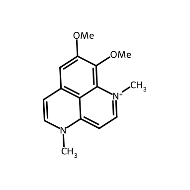 COc1cc2c3c(cc[n+](C)c3c1OC)N(C)C=C2